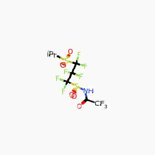 CC(C)S(=O)(=O)C(F)(F)C(F)(F)C(F)(F)S(=O)(=O)NC(=O)C(F)(F)F